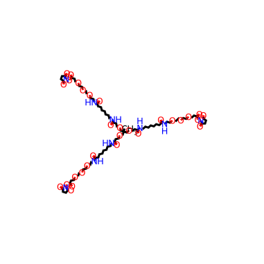 CC(COCCC(=O)NCCCCCCCC(=O)NCCOCCOCCOCCC(=O)ON1C(=O)CCC1=O)(COCCC(=O)NCCCCCCCC(=O)NCCOCCOCCOCCC(=O)ON1C(=O)CCC1=O)COCCC(=O)NCCCCCCCC(=O)NCCOCCOCCOCCC(=O)ON1C(=O)CCC1=O